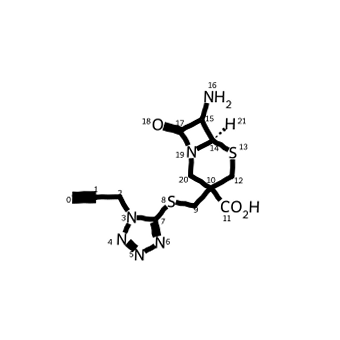 C#CCn1nnnc1SCC1(C(=O)O)CS[C@@H]2C(N)C(=O)N2C1